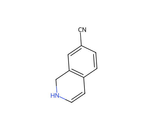 N#Cc1ccc2c(c1)CNC=C2